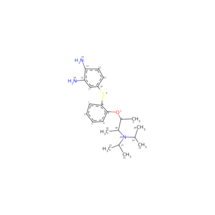 CC(Oc1ccccc1Sc1ccc(N)c(N)c1)C(C)N(C(C)C)C(C)C